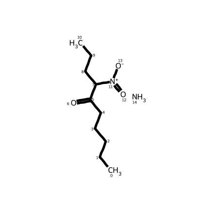 CCCCCC(=O)C(CCC)[N+](=O)[O-].N